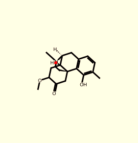 COC1C[C@]2(O)[C@@H]3Cc4ccc(C)c(O)c4[C@]2(CCN3C)CC1=O